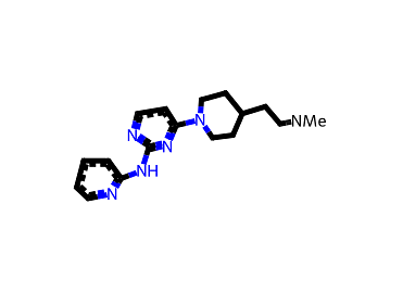 CNCCC1CCN(c2ccnc(Nc3ccccn3)n2)CC1